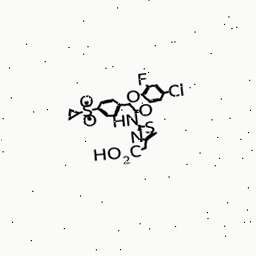 O=C(O)Cc1csc(NC(=O)C(Oc2ccc(Cl)cc2F)c2ccc(S(=O)(=O)C3CC3)cc2)n1